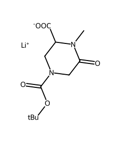 CN1C(=O)CN(C(=O)OC(C)(C)C)CC1C(=O)[O-].[Li+]